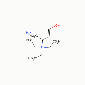 N.O=C(O)C[N+](CC(=O)O)(CC(=O)O)C(C=CO)C(=O)O